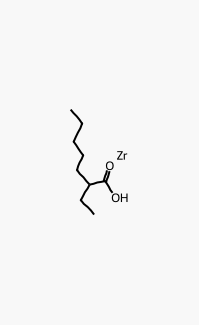 CCCCCC(CC)C(=O)O.[Zr]